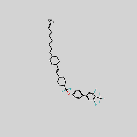 C/C=C/CCCCCCC1CCC(/C=C/C2CCC(C(F)(F)Oc3ccc(-c4cc(F)c(C(F)(F)F)c(F)c4)cc3)CC2)CC1